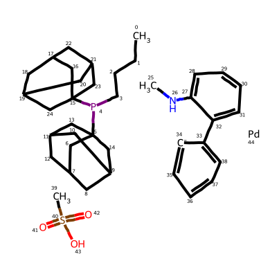 CCCCP(C12CC3CC(CC(C3)C1)C2)C12CC3CC(CC(C3)C1)C2.CNc1ccccc1-c1[c-]cccc1.CS(=O)(=O)O.[Pd]